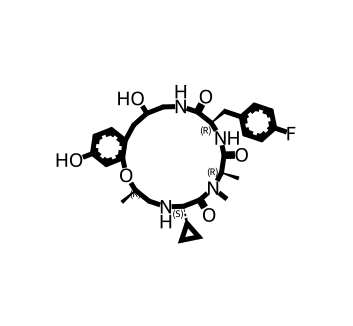 C[C@@H]1CN[C@@H](C2CC2)C(=O)N(C)[C@H](C)C(=O)N[C@H](Cc2ccc(F)cc2)C(=O)NCC(O)Cc2ccc(O)cc2O1